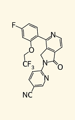 N#Cc1ccc(N2Cc3c(ccnc3-c3ccc(F)cc3OCC(F)(F)F)C2=O)nc1